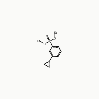 CCOP(=O)(OCC)c1cccc(C2CC2)c1